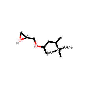 CO[Si](C)(OC)C(C)CC(C)OCC1CO1